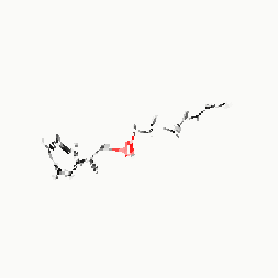 C=C(COCCCCCCCC)c1ccccc1